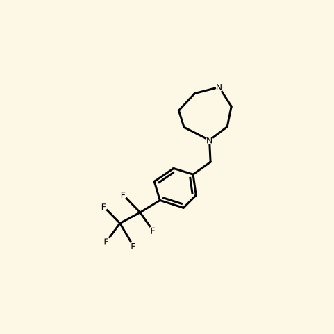 FC(F)(F)C(F)(F)c1ccc(CN2CCC[N]CC2)cc1